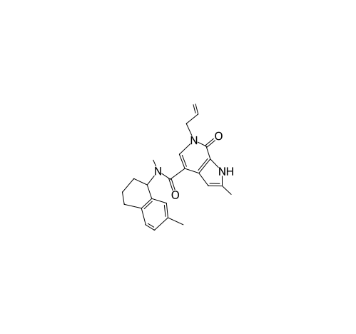 C=CCn1cc(C(=O)N(C)C2CCCc3ccc(C)cc32)c2cc(C)[nH]c2c1=O